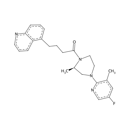 Cc1cc(F)cnc1N1CCN(C(=O)CCCc2cccc3ncccc23)[C@H](C)C1